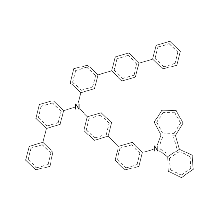 c1ccc(-c2ccc(-c3cccc(N(c4ccc(-c5cccc(-n6c7ccccc7c7ccccc76)c5)cc4)c4cccc(-c5ccccc5)c4)c3)cc2)cc1